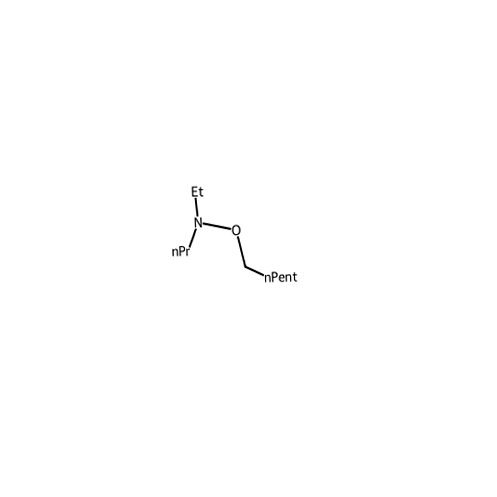 CCCCCCON(CC)CCC